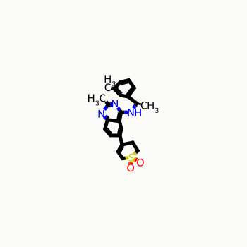 Cc1cccc([C@@H](C)Nc2nc(C)nc3ccc(C4=CCS(=O)(=O)CC4)cc23)c1